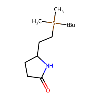 CC(C)(C)S(C)(C)CCC1CCC(=O)N1